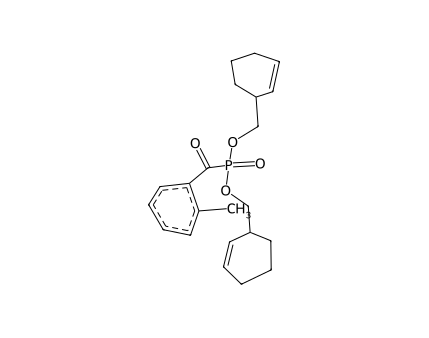 Cc1ccccc1C(=O)P(=O)(OCC1C=CCCC1)OCC1C=CCCC1